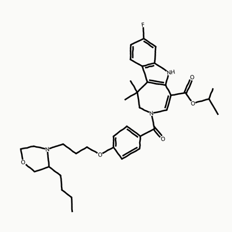 CCCCC1COCCN1CCCOc1ccc(C(=O)N2C=C(C(=O)OC(C)C)c3[nH]c4cc(F)ccc4c3C(C)(C)C2)cc1